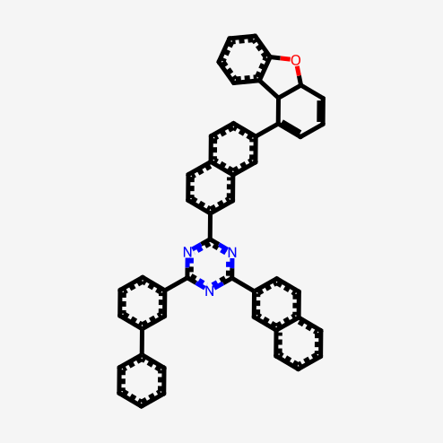 C1=CC2Oc3ccccc3C2C(c2ccc3ccc(-c4nc(-c5cccc(-c6ccccc6)c5)nc(-c5ccc6ccccc6c5)n4)cc3c2)=C1